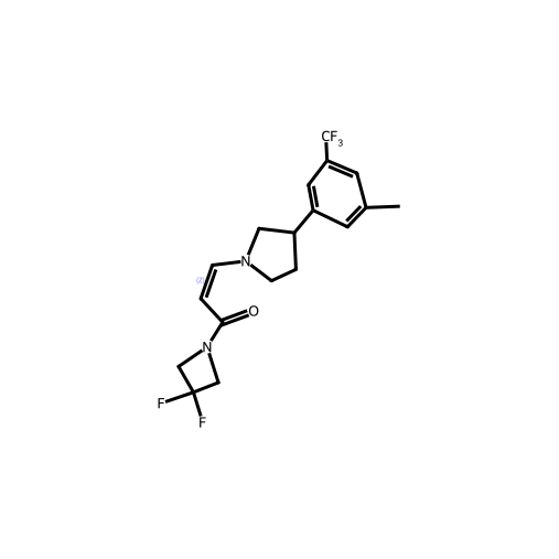 Cc1cc(C2CCN(/C=C\C(=O)N3CC(F)(F)C3)C2)cc(C(F)(F)F)c1